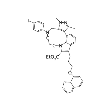 CCOC(=O)c1c(CCCOc2cccc3ccccc23)c2cccc3c2n1CCCN(c1ccc(I)cc1)Cc1c-3c(C)nn1C